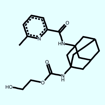 Cc1cccc(C(=O)NC23CC4CC(CC(NC(=O)OCCO)(C4)C2)C3)n1